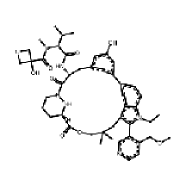 CCn1c(-c2cnccc2COC)c2c3cc(ccc31)-c1cc(O)cc(c1)C[C@H](NC(=O)C(C(C)C)N(C)C(=O)C1(O)COC1)C(=O)N1CCC[C@H](N1)C(=O)OCC(C)(C)C2